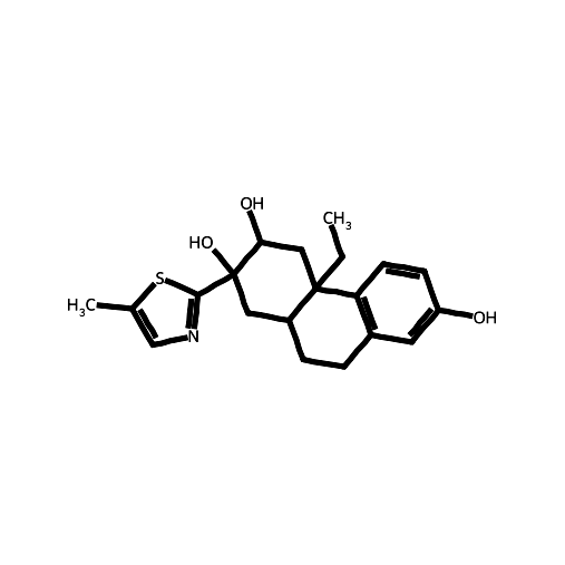 CCC12CC(O)C(O)(c3ncc(C)s3)CC1CCc1cc(O)ccc12